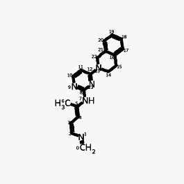 C=N/C=C\C=C(/C)Nc1nccc(N2CCc3ccccc3C2)n1